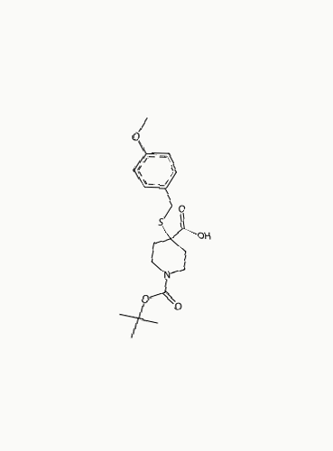 COc1ccc(CSC2(C(=O)O)CCN(C(=O)OC(C)(C)C)CC2)cc1